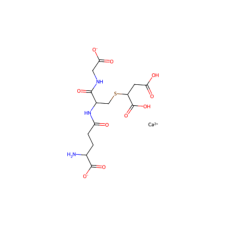 NC(CCC(=O)NC(CSC(CC(=O)O)C(=O)O)C(=O)NCC(=O)[O-])C(=O)[O-].[Ca+2]